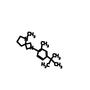 Cc1cc(C(C)(C)C)ccc1N1CC2(CCCN2C)C1